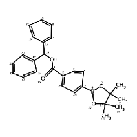 CC1(C)OB(c2ccc(C(=O)OC(c3ccccc3)c3ccccc3)cc2)OC1(C)C